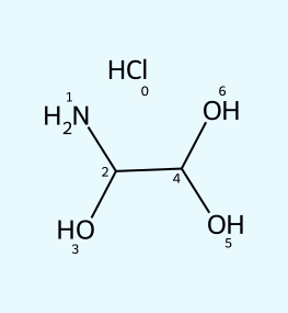 Cl.NC(O)C(O)O